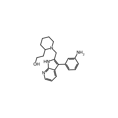 Nc1cccc(-c2c(CN3CCCCC3CCO)[nH]c3ncccc23)c1